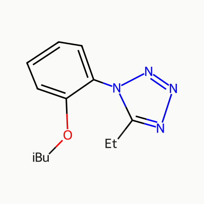 CCc1nnnn1-c1ccccc1OC(C)CC